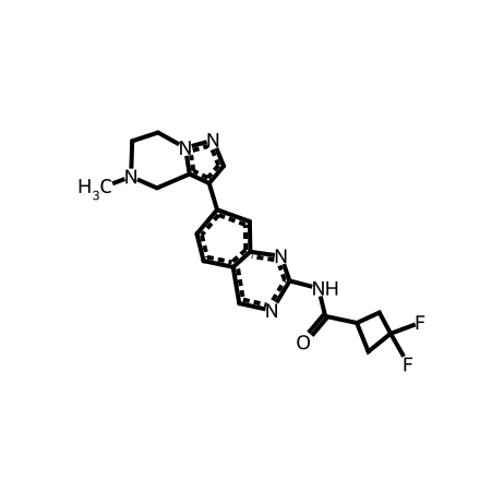 CN1CCn2ncc(-c3ccc4cnc(NC(=O)C5CC(F)(F)C5)nc4c3)c2C1